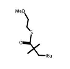 COCCSC(=O)C(C)(C)CC(C)(C)C